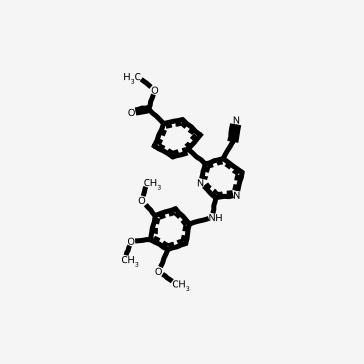 COC(=O)c1ccc(-c2nc(Nc3cc(OC)c(OC)c(OC)c3)ncc2C#N)cc1